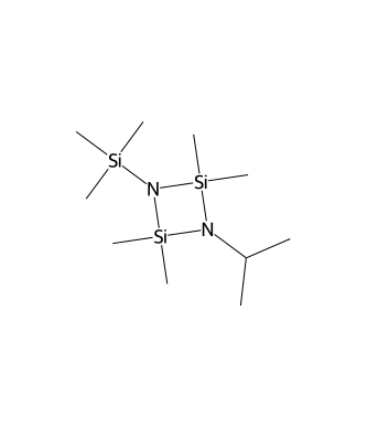 CC(C)N1[Si](C)(C)N([Si](C)(C)C)[Si]1(C)C